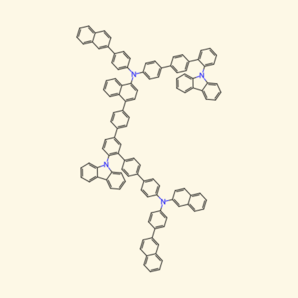 c1ccc(-n2c3ccccc3c3ccccc32)c(-c2ccc(-c3ccc(N(c4ccc(-c5ccc6ccccc6c5)cc4)c4ccc(-c5ccc(-c6ccc(-n7c8ccccc8c8ccccc87)c(-c7ccc(-c8ccc(N(c9ccc(-c%10ccc%11ccccc%11c%10)cc9)c9ccc%10ccccc%10c9)cc8)cc7)c6)cc5)c5ccccc45)cc3)cc2)c1